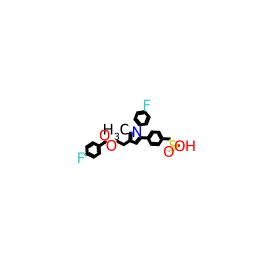 Cc1c(CCOC(=O)c2ccc(F)cc2)cc(-c2ccc(CS(=O)O)cc2)n1-c1ccc(F)cc1